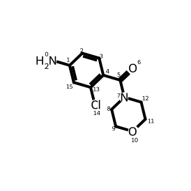 Nc1ccc(C(=O)N2CCOCC2)c(Cl)c1